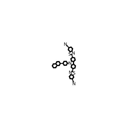 N#Cc1ccc2nc(-c3ccc4c5ccc(-c6nc7ccc(C#N)cc7s6)cc5n(-c5ccc(-c6ccc7ccccc7c6)cc5)c4c3)sc2c1